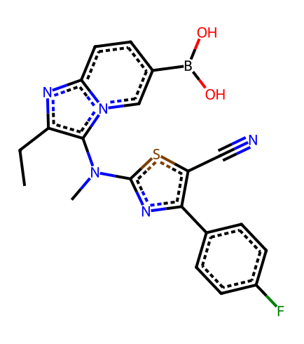 CCc1nc2ccc(B(O)O)cn2c1N(C)c1nc(-c2ccc(F)cc2)c(C#N)s1